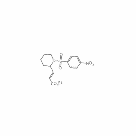 CCOC(=O)/C=C/C1CCCCN1S(=O)(=O)c1ccc([N+](=O)[O-])cc1